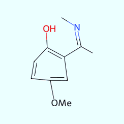 C/N=C(/C)c1cc(OC)ccc1O